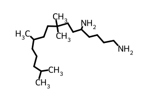 CC(C)CCCC(C)CCC(C)(C)CCC(N)CCCCN